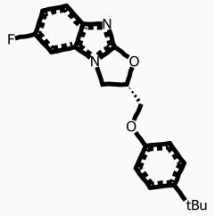 CC(C)(C)c1ccc(OC[C@@H]2Cn3c(nc4ccc(F)cc43)O2)cc1